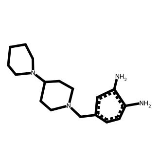 Nc1ccc(CN2CCC(N3CCCCC3)CC2)cc1N